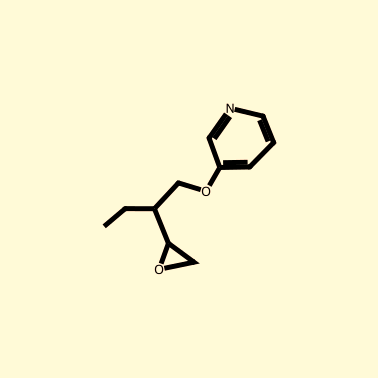 CCC(COc1cccnc1)C1CO1